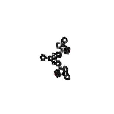 c1ccc(-c2cc3c4c(c2)Oc2cc(N(c5ccccc5)c5cccc6c7ccccc7n(-c7ccccc7)c56)ccc2B4c2ccc(N(c4ccccc4)c4cccc5c6ccccc6n(-c6ccccc6)c45)cc2O3)cc1